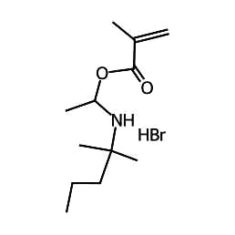 Br.C=C(C)C(=O)OC(C)NC(C)(C)CCC